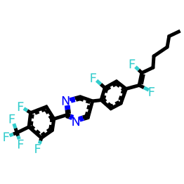 CCCCC/C(F)=C(\F)c1ccc(-c2cnc(-c3cc(F)c(C(F)(F)F)c(F)c3)nc2)c(F)c1